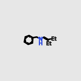 CCC(=CNCc1ccccc1)CC